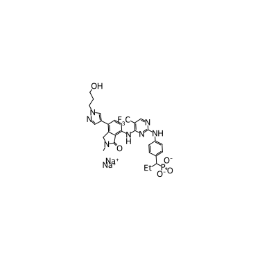 CCC(c1ccc(Nc2ncc(C(F)(F)F)c(Nc3ccc(-c4cnn(CCCO)c4)c4c3C(=O)N(C)C4)n2)cc1)P(=O)([O-])[O-].[Na+].[Na+]